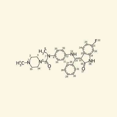 CN1CCN(C(=O)N(C)c2ccc(NC(=C3C(=O)Nc4cc(F)ccc43)c3ccccc3)cc2)CC1